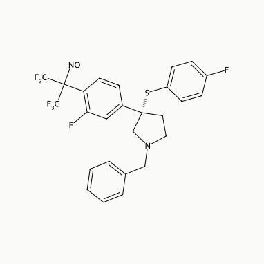 O=NC(c1ccc([C@@]2(Sc3ccc(F)cc3)CCN(Cc3ccccc3)C2)cc1F)(C(F)(F)F)C(F)(F)F